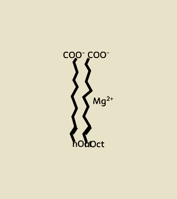 CCCCCCCCC=CCCCCCCCC(=O)[O-].CCCCCCCCC=CCCCCCCCC(=O)[O-].[Mg+2]